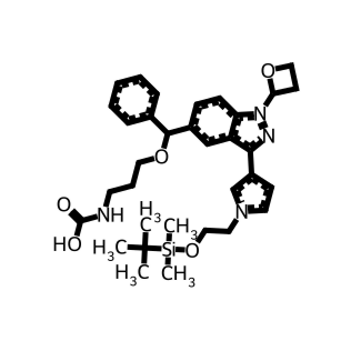 CC(C)(C)[Si](C)(C)OCCn1ccc(-c2nn(C3CCO3)c3ccc(C(OCCCNC(=O)O)c4ccccc4)cc23)c1